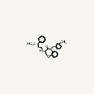 Cc1cccc(CN2C(=O)[C@@H](NCC[C@H](C(=O)O)c3ccccc3)COc3ccccc32)c1